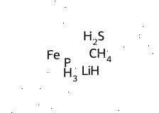 C.P.S.[Fe].[LiH]